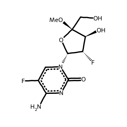 CO[C@]1(CO)O[C@@H](n2cc(F)c(N)nc2=O)[C@@H](F)[C@@H]1O